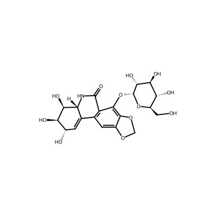 O=C1N[C@@H]2C(=C[C@H](O)[C@@H](O)[C@H]2O)c2cc3c(c(O[C@H]4O[C@H](CO)[C@@H](O)[C@H](O)[C@H]4O)c21)OCO3